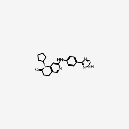 O=C1CCc2cnc(Nc3ccc(-c4nn[nH]n4)cc3)cc2N1C1CCCC1